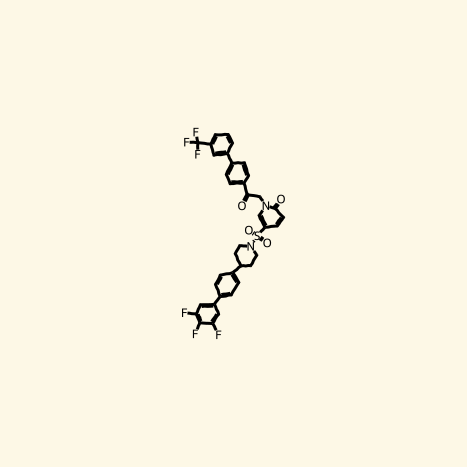 O=C(Cn1cc(S(=O)(=O)N2CCC(c3ccc(-c4cc(F)c(F)c(F)c4)cc3)CC2)ccc1=O)c1ccc(-c2cccc(C(F)(F)F)c2)cc1